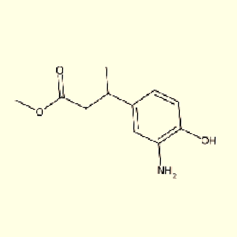 COC(=O)CC(C)c1ccc(O)c(N)c1